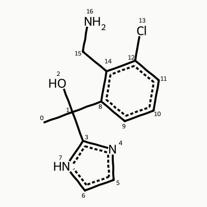 CC(O)(c1ncc[nH]1)c1cccc(Cl)c1CN